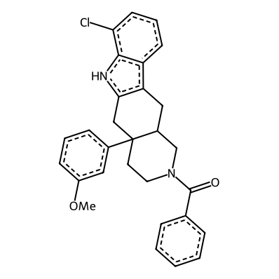 COc1cccc(C23CCN(C(=O)c4ccccc4)CC2Cc2c([nH]c4c(Cl)cccc24)C3)c1